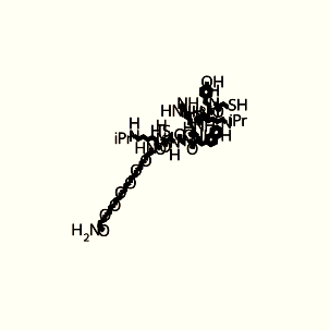 CC(C)NCCCCC(NC(=O)C(CS)NC(=O)CNC(=O)C(Cc1ccc2ccccc2c1)NC(=O)[C@@H](CCCNC(=N)N)NC(=O)C(CCCCNC(C)C)NC(=O)C(Cc1ccc(O)cc1)NC(=O)CCS)C(=O)NCCOCCOCCOCCOCCOCCOCCC(N)=O